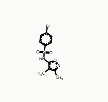 Cc1noc(NS(=O)(=O)c2ccc(Br)cc2)c1C